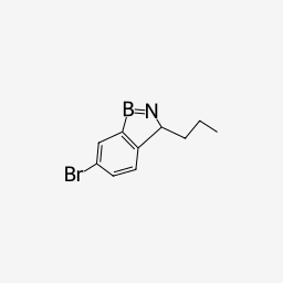 CCCC1N=Bc2cc(Br)ccc21